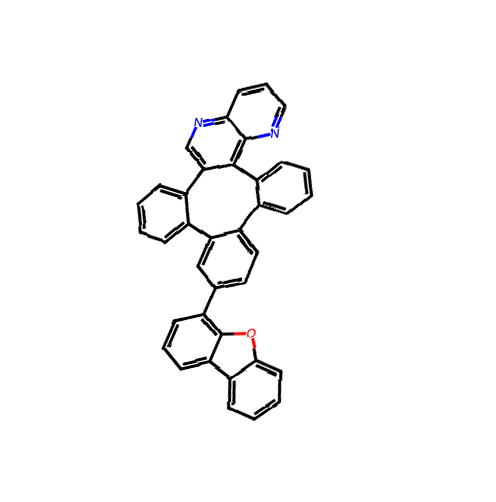 c1ccc2c(c1)-c1cc(-c3cccc4c3oc3ccccc34)ccc1-c1ccccc1-c1c-2cnc2cccnc12